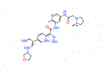 Cc1ncc(NC(=O)CN2CCC[C@H]2C)cc1NC(=O)/C(N=N)=C1\C=CC(/C(C=N)=C/NC2CCOC2)=CN1